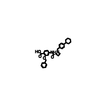 O=C(O)c1ccc(NC(=O)[C@H]2CCN2Cc2ccc(C3CCCCC3)cc2)cc1OCc1ccccc1